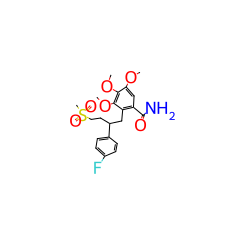 COc1cc(C(N)=O)c(CC(CCS(C)(=O)=O)c2ccc(F)cc2)c(OC)c1OC